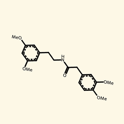 COc1cc(CCNC(=O)Cc2ccc(OC)c(OC)c2)cc(OC)c1